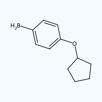 Bc1ccc(OC2CCCC2)cc1